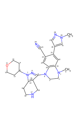 CN1CCN(c2nn(C3CCOCC3)c3c2CNCC3)c2cc(C#N)c(-c3cnn(C)c3)cc21